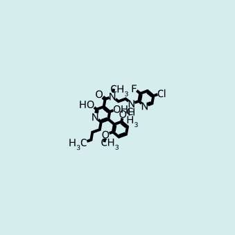 CCCCc1nc(O)c(C(=O)N(C)CCNc2ncc(Cl)cc2F)c(O)c1-c1c(OC)cccc1OC